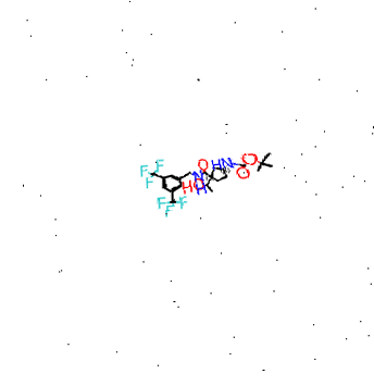 CC(O)[C@]1(C(=O)NCc2cc(C(F)(F)F)cc(C(F)(F)F)c2)CC[C@@H](NC(=O)OC(C)(C)C)C1